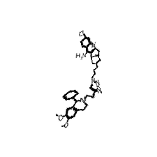 COc1cc2c(cc1OC)C(c1ccccc1)N(CCc1cn(CCCCC3=CC4Cc5nc6cc(Cl)ccc6c(N)c5C(C3)C4)nn1)CC2